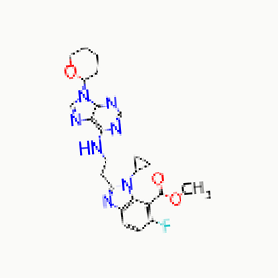 COC(=O)c1c(F)ccc2nc(CCNc3ncnc4c3ncn4[C@@H]3CCCCO3)n(C3CC3)c12